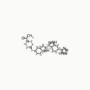 CC(=O)N1CCN(Cc2ccc3[nH]c(-c4n[nH]c5cc(-c6nnn[nH]6)ccc45)cc3c2)CC1